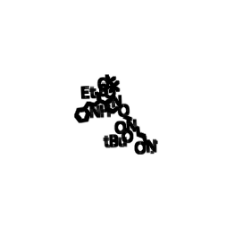 CC/C(B1OC(C)(C)C(C)(C)O1)=C(/c1ccc(OCCN(C/C=C/C(=O)N(C)C)C(=O)OC(C)(C)C)nc1)c1cc2ccccc2[nH]1